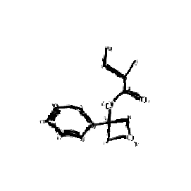 CC=C(C)C(=O)OC1(c2ccccc2)COC1